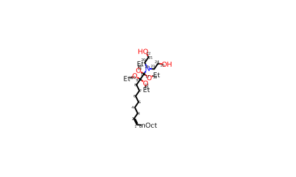 CCCCCCCC/C=C\CCCCCCC(OCC)(OCC)C(OCC)(OCC)N(CCO)CCO